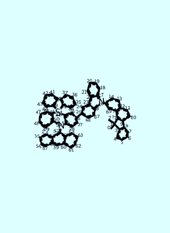 CC1(C)c2ccccc2-c2ccc3ccc(-n4c5ccccc5c5cc(-c6ccc7c(c6)[Si](c6ccccc6)(c6ccccc6)c6ccccc6N7c6c7ccccc7cc7ccccc67)ccc54)cc3c21